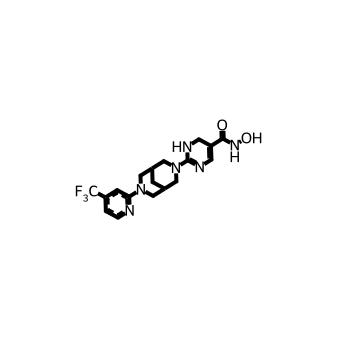 O=C(NO)C1=CN=C(N2CC3CC(C2)CN(c2cc(C(F)(F)F)ccn2)C3)NC1